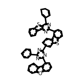 C1=CC(c2nc(-c3cccc4sc5cc(-c6nc(-c7ccccc7)nc(-c7cccc8oc9ccccc9c78)n6)ccc5c34)nc3c2sc2ccccc23)=CCC1